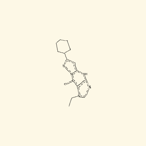 CCn1cnc2[nH]c3cc(C4CCCCC4)nn3c(=O)c21